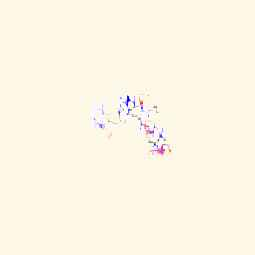 CCNC(=O)c1ccc(-n2nnc(C(=O)NC3CC3)c2CCCOc2ccc([N+](=O)[O-])c(C)n2)cc1